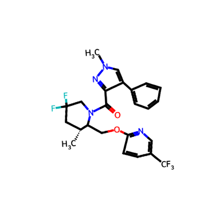 C[C@@H]1CC(F)(F)CN(C(=O)c2nn(C)cc2-c2ccccc2)C1COc1ccc(C(F)(F)F)cn1